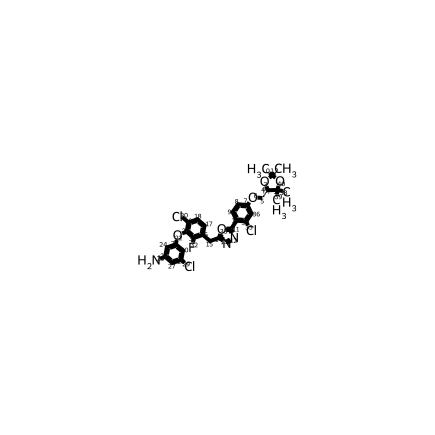 CC1(C)O[C@@H](COc2ccc(-c3nnc(Cc4ccc(Cl)c(Oc5cc(N)cc(Cl)c5)c4F)o3)c(Cl)c2)C(C)(C)O1